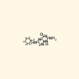 Nc1nc(=O)c2nc(NCc3ccccc3)cnc2[nH]1